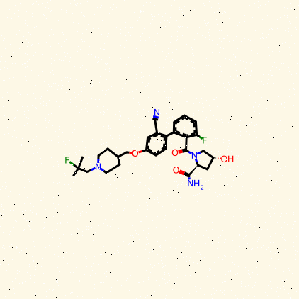 CC(C)(F)CN1CCC(COc2ccc(-c3cccc(F)c3C(=O)N3C[C@H](O)C[C@H]3C(N)=O)c(C#N)c2)CC1